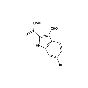 COC(=O)c1[nH]c2cc(Br)ccc2c1C=O